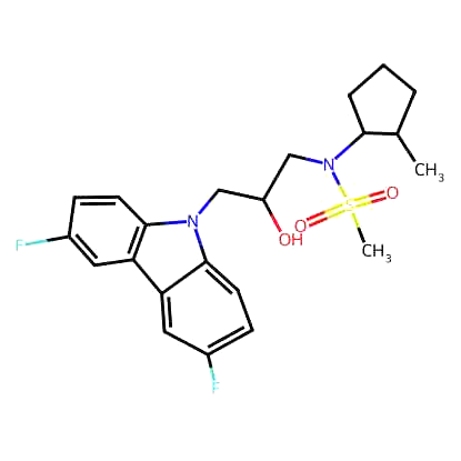 CC1CCCC1N(CC(O)Cn1c2ccc(F)cc2c2cc(F)ccc21)S(C)(=O)=O